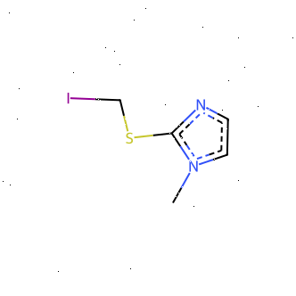 Cn1ccnc1SCI